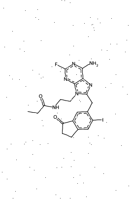 CCC(=O)NCCn1c(Cc2cc3c(cc2I)CCC3=O)nc2c(N)nc(F)nc21